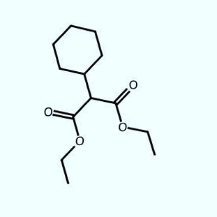 CCOC(=O)C(C(=O)OCC)C1CCCCC1